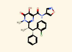 C[C@H](c1nc(C(=O)Nc2cnoc2)c(O)c(=O)n1C)[C@@H](c1ccccc1)c1ccccc1Cl